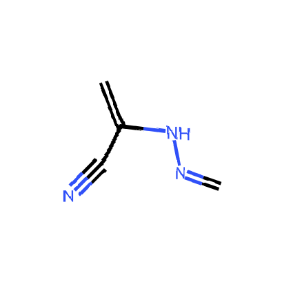 C=NNC(=C)C#N